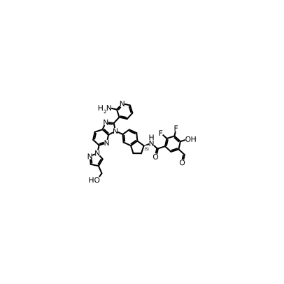 Nc1ncccc1-c1nc2ccc(-n3cc(CO)cn3)nc2n1-c1ccc2c(c1)CC[C@@H]2NC(=O)c1cc(C=O)c(O)c(F)c1F